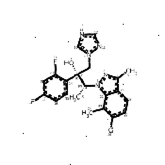 Cc1nn([C@H](C)[C@](O)(Cn2cncn2)c2ccc(F)cc2F)c2c(C)c(Cl)ccc12